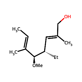 C/C=C(\C)[C@H](OC)[C@H](/C=C(\C)CO)CC